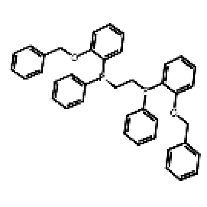 c1ccc(COc2ccccc2P(CC[P@@](c2ccccc2)c2ccccc2OCc2ccccc2)c2ccccc2)cc1